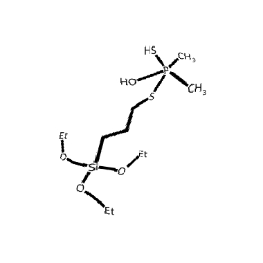 CCO[Si](CCCSP(C)(C)(O)S)(OCC)OCC